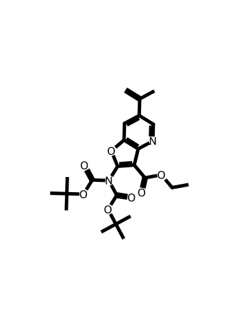 C=C(C)c1cnc2c(C(=O)OCC)c(N(C(=O)OC(C)(C)C)C(=O)OC(C)(C)C)oc2c1